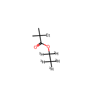 [2H]C([2H])([2H])C([2H])([2H])OC(=O)C(C)(C)CC